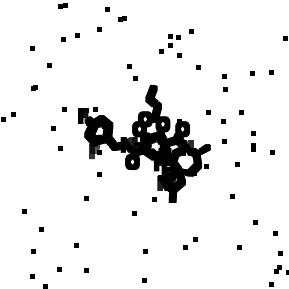 CCCC(=O)Oc1c2n(cc(C(=O)NCc3ccc(F)cc3F)c1=O)[C@@H]1CN(C2=O)[C@@H](C)CC[C@]12CC(C)=NO2